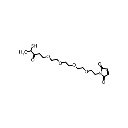 CC(S)C(=O)CCOCCOCCOCCOCCN1C(=O)C=CC1=O